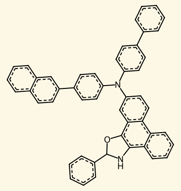 c1ccc(-c2ccc(N(c3ccc(-c4ccc5ccccc5c4)cc3)c3ccc4c(c3)c3c(c5ccccc54)NC(c4ccccc4)O3)cc2)cc1